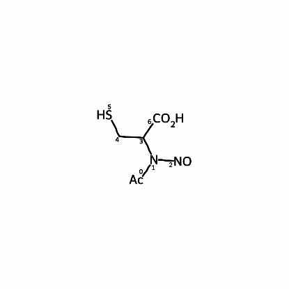 CC(=O)N(N=O)C(CS)C(=O)O